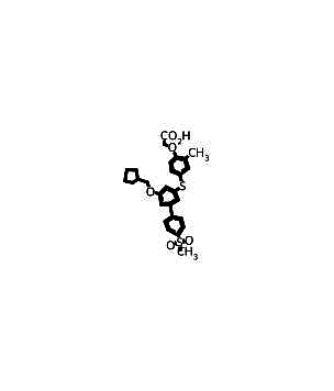 Cc1cc(Sc2cc(OCC3CCCC3)cc(-c3ccc(S(C)(=O)=O)cc3)c2)ccc1OCC(=O)O